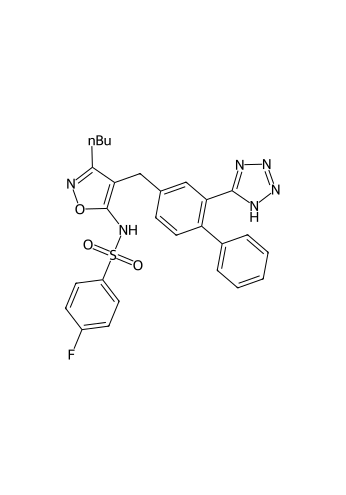 CCCCc1noc(NS(=O)(=O)c2ccc(F)cc2)c1Cc1ccc(-c2ccccc2)c(-c2nnn[nH]2)c1